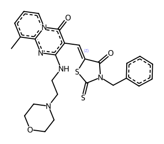 Cc1cccn2c(=O)c(/C=C3\SC(=S)N(Cc4ccccc4)C3=O)c(NCCN3CCOCC3)nc12